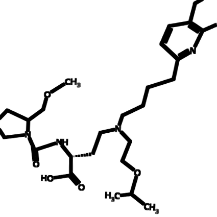 COCC1CCCN1C(=O)N[C@H](CCN(CCCCc1ccc2c(n1)NCCC2)CCOC(C)C)C(=O)O